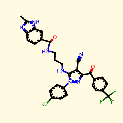 Cc1nc2ccc(C(=O)NCCCNc3c(C#N)c(C(=O)c4ccc(C(F)(F)F)cc4)nn3-c3ccc(Cl)cc3)cc2[nH]1